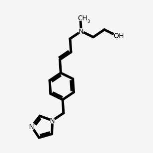 CN(CC=Cc1ccc(Cn2ccnc2)cc1)CCO